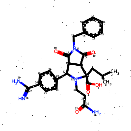 CC(C)CC1(C(=O)O)C2C(=O)N(Cc3ccccc3)C(=O)C2C(c2ccc(C(=N)N)cc2)N1CCC(N)=O